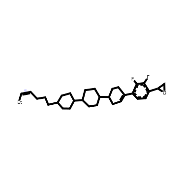 CC/C=C\CCCC1CCC(C2CCC(C3CC=C(c4ccc(C5CO5)c(F)c4F)CC3)CC2)CC1